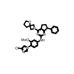 COc1cc(Nc2nc3c(c(N4CC5(CCCO5)C4)n2)CCC3c2ccccc2)ccc1-n1cnc(Cl)c1